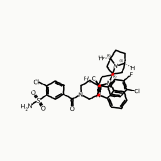 Cc1nc2ccccc2n1[C@H]1C[C@H]2CC[C@@H](C1)N2CCC1(c2ccc(Cl)c(F)c2)CCN(C(=O)c2ccc(Cl)c(S(N)(=O)=O)c2)CC1